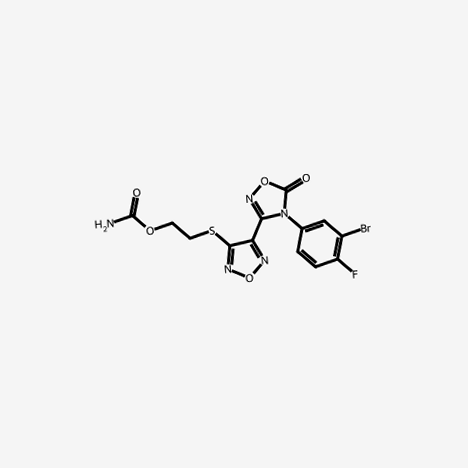 NC(=O)OCCSc1nonc1-c1noc(=O)n1-c1ccc(F)c(Br)c1